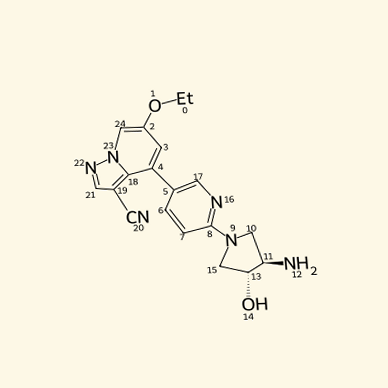 CCOc1cc(-c2ccc(N3C[C@@H](N)[C@H](O)C3)nc2)c2c(C#N)cnn2c1